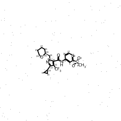 CS(=O)(=O)c1cc(NC(=O)c2c(C(F)(F)F)c(C3CC3)nn2C[C@@H]2CCCCO2)ccn1